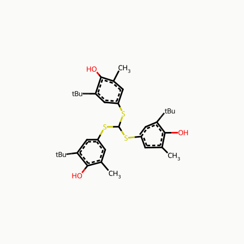 Cc1cc(SC(Sc2cc(C)c(O)c(C(C)(C)C)c2)Sc2cc(C)c(O)c(C(C)(C)C)c2)cc(C(C)(C)C)c1O